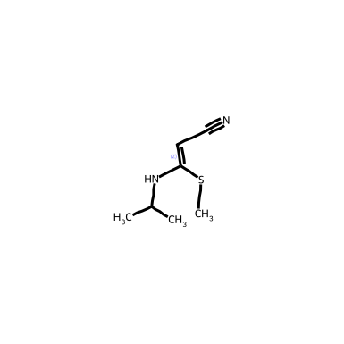 CS/C(=C\C#N)NC(C)C